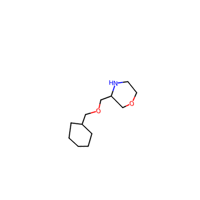 C1CCC(COCC2COCCN2)CC1